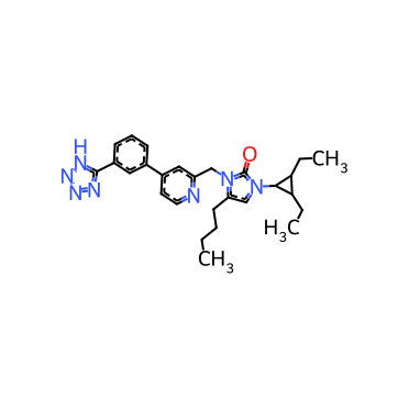 CCCCc1cn(C2C(CC)C2CC)c(=O)n1Cc1cc(-c2cccc(-c3nnn[nH]3)c2)ccn1